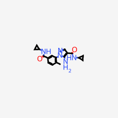 Cc1ccc(C(=O)NC2CC2)cc1-n1ncc(C(=O)NC2CC2)c1N